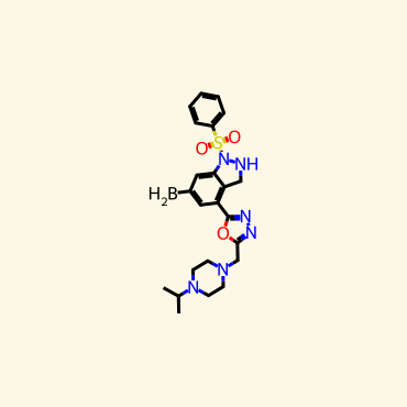 Bc1cc(-c2nnc(CN3CCN(C(C)C)CC3)o2)c2c(c1)N(S(=O)(=O)c1ccccc1)NC2